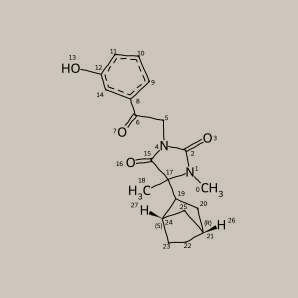 CN1C(=O)N(CC(=O)c2cccc(O)c2)C(=O)C1(C)C1C[C@@H]2CC[C@H]1C2